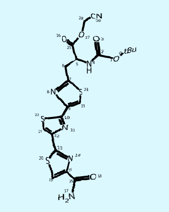 CC(C)(C)OC(=O)N[C@@H](Cc1nc(-c2nc(-c3nc(C(N)=O)cs3)cs2)cs1)C(=O)OCC#N